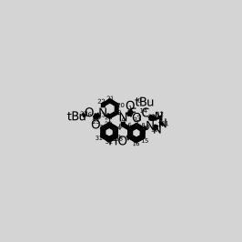 CC(C)(C)OC(=O)N(Cc1cc(-n2nnnc2C(F)(F)F)ccc1O)[C@H]1CCCN(C(=O)OC(C)(C)C)[C@H]1c1ccccc1